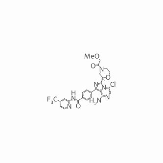 COCC(=O)N1CCO[C@@H](c2nc(-c3ccc(C(=O)Nc4cc(C(F)(F)F)ccn4)cc3)c3c(N)ncc(Cl)n23)C1